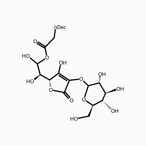 CCCCCCCCCCCC(=O)OC(O)[C@H](O)[C@H]1OC(=O)C(OC2O[C@H](CO)[C@@H](O)[C@H](O)[C@H]2O)=C1O